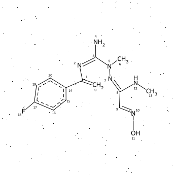 C=C(/N=C(/N)N(C)/N=C(/C=N/O)NC)c1ccc(F)cc1